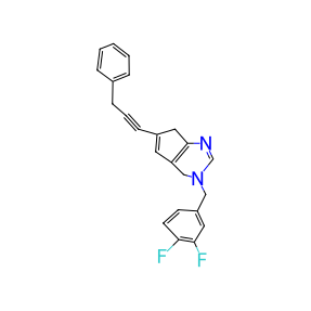 Fc1ccc(CN2C=NC3=C(C=C(C#CCc4ccccc4)C3)C2)cc1F